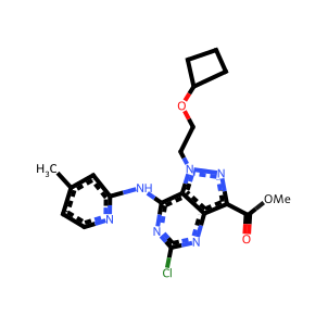 COC(=O)c1nn(CCOC2CCC2)c2c(Nc3cc(C)ccn3)nc(Cl)nc12